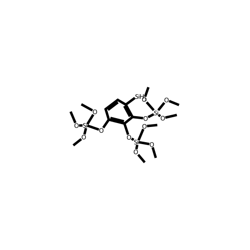 CO[Si](OC)(OC)Oc1ccc([SiH3])c(O[Si](OC)(OC)OC)c1O[Si](OC)(OC)OC